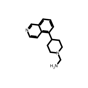 NCN1CCC(c2cccc3cnccc23)CC1